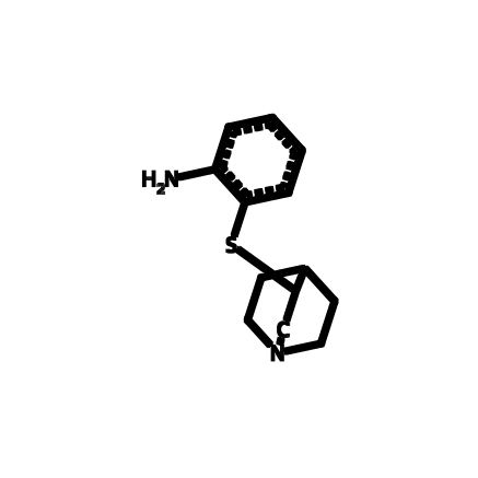 Nc1ccccc1SC1CN2CCC1CC2